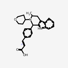 CC1Cc2c([nH]c3ccccc23)C(c2ccc(/C=C/C(=O)O)cc2)N1C1CCOCC1